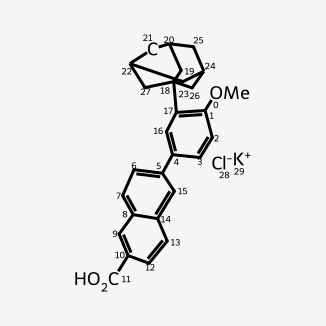 COc1ccc(-c2ccc3cc(C(=O)O)ccc3c2)cc1C12CC3CC(CC(C3)C1)C2.[Cl-].[K+]